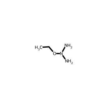 CCON(N)N